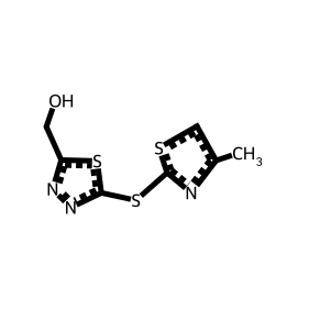 Cc1csc(Sc2nnc(CO)s2)n1